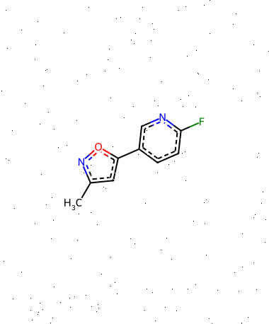 Cc1cc(-c2ccc(F)nc2)on1